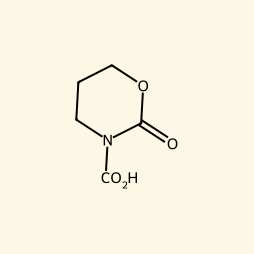 O=C(O)N1CCCOC1=O